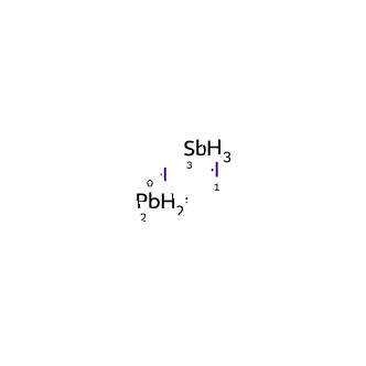 [I].[I].[PbH2].[SbH3]